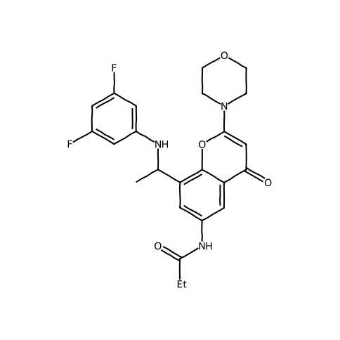 CCC(=O)Nc1cc(C(C)Nc2cc(F)cc(F)c2)c2oc(N3CCOCC3)cc(=O)c2c1